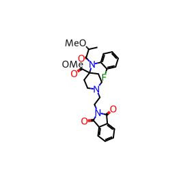 COC(=O)C1(N(C(=O)C(C)OC)c2ccccc2F)CCN(CCN2C(=O)c3ccccc3C2=O)CC1